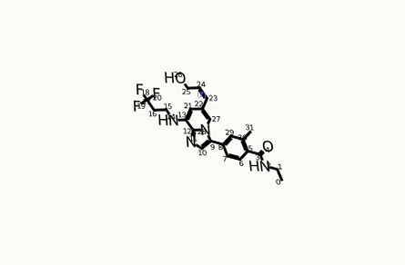 CCNC(=O)c1ccc(-c2cnc3c(NCCC(F)(F)F)cc(/C=C\CO)cn23)cc1C